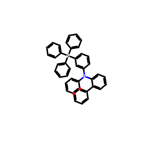 c1ccc(-c2ccccc2N(c2ccccc2)c2cccc([Si](c3ccccc3)(c3ccccc3)c3ccccc3)c2)cc1